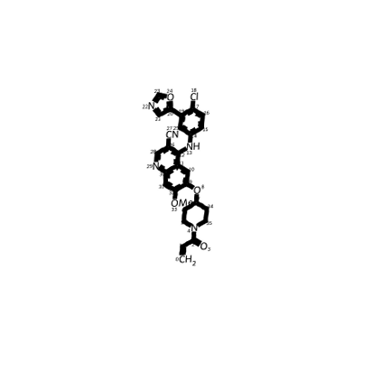 C=CC(=O)N1CCC(Oc2cc3c(Nc4ccc(Cl)c(-c5cnco5)c4)c(C#N)cnc3cc2OC)CC1